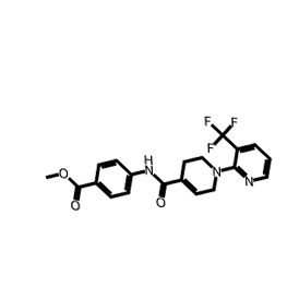 COC(=O)c1ccc(NC(=O)C2=CCN(c3ncccc3C(F)(F)F)CC2)cc1